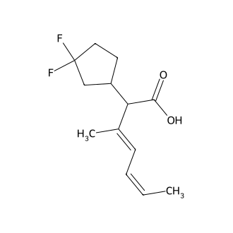 C/C=C\C=C(/C)C(C(=O)O)C1CCC(F)(F)C1